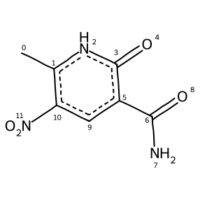 Cc1[nH]c(=O)c(C(N)=O)cc1[N+](=O)[O-]